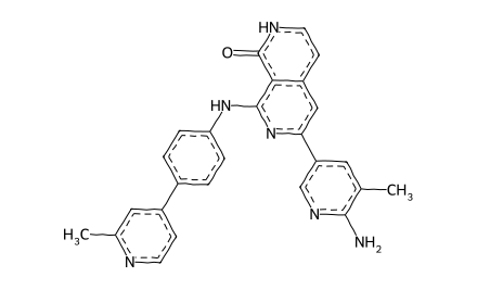 Cc1cc(-c2ccc(Nc3nc(-c4cnc(N)c(C)c4)cc4cc[nH]c(=O)c34)cc2)ccn1